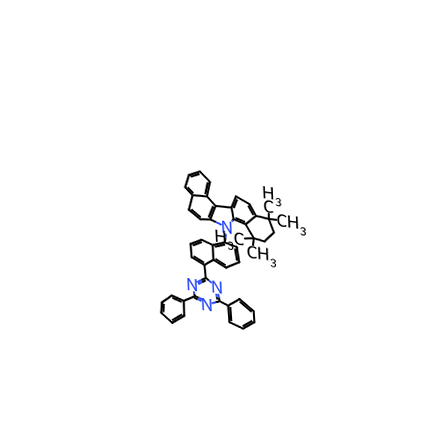 CC1(C)CCC(C)(C)c2c1ccc1c3c4ccccc4ccc3n(-c3cccc4c(-c5nc(-c6ccccc6)nc(-c6ccccc6)n5)cccc34)c21